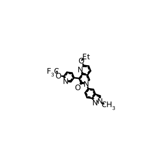 CCOc1ccc2cn(-c3ccc4nn(C)cc4c3)c(=O)c(-c3ccc(OC(F)(F)F)nc3)c2n1